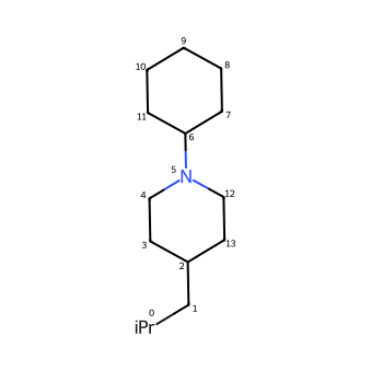 CC(C)CC1CCN(C2CCCCC2)CC1